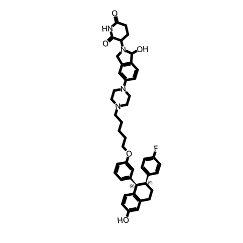 O=C1CCC(N2Cc3cc(N4CCN(CCCCCOc5cccc([C@@H]6c7ccc(O)cc7CC[C@@H]6c6ccc(F)cc6)c5)CC4)ccc3C2O)C(=O)N1